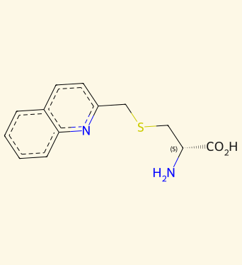 N[C@H](CSCc1ccc2ccccc2n1)C(=O)O